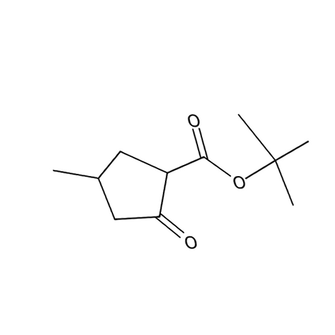 CC1CC(=O)C(C(=O)OC(C)(C)C)C1